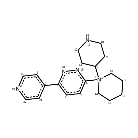 c1cc(-c2ccc([N+]3(C4CCNCC4)CCCCC3)nn2)ccn1